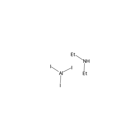 CCNCC.[I][Al]([I])[I]